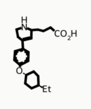 CC[C@H]1CC[C@H](Oc2ccc(C3=CC(CCCC(=O)O)NCC3)cc2)CC1